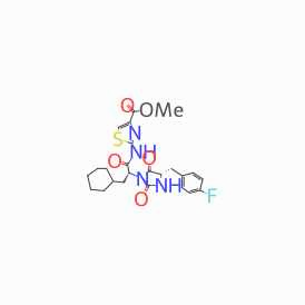 COC(=O)c1csc(NC(=O)[C@H](CC2CCCCC2)N2C(=O)N[C@@H](Cc3ccc(F)cc3)C2=O)n1